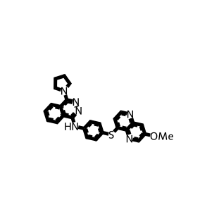 COc1cnc2c(Sc3ccc(Nc4nnc(N5CCCC5)c5ccccc45)cc3)ccnc2c1